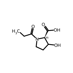 CCC(=O)N1CCC(O)[C@@H]1C(=O)O